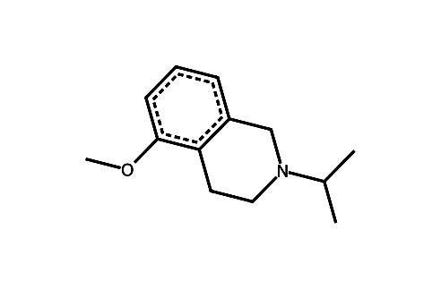 COc1cccc2c1CCN(C(C)C)C2